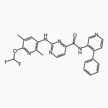 Cc1cc(Nc2nccc(C(=O)Nc3cnccc3-c3ccccc3)n2)c(C)nc1OC(F)F